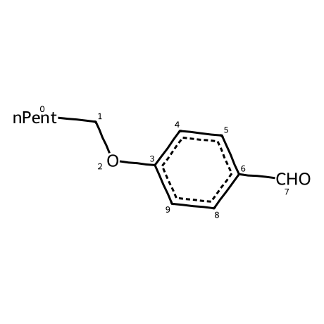 CCCCCCOc1ccc(C=O)cc1